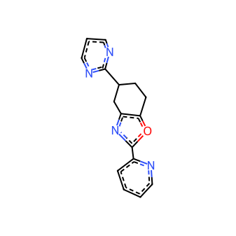 c1ccc(-c2nc3c(o2)CCC(c2ncccn2)C3)nc1